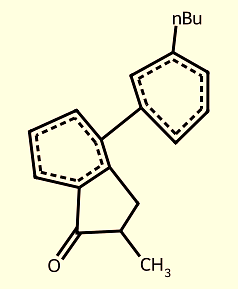 CCCCc1cccc(-c2cccc3c2CC(C)C3=O)c1